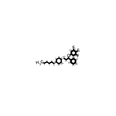 CCCCCC[C@H]1CC[C@H](CCC(Oc2cc(F)c(F)c(F)c2)c2ccccc2)CC1